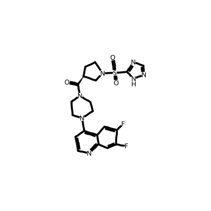 O=C([C@H]1CCN(S(=O)(=O)c2ncn[nH]2)C1)N1CCN(c2ccnc3cc(F)c(F)cc23)CC1